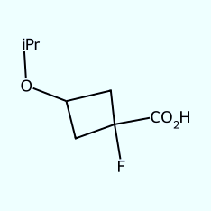 CC(C)OC1CC(F)(C(=O)O)C1